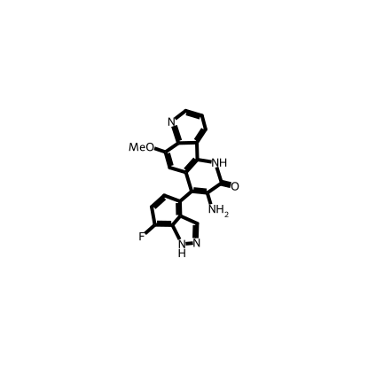 COc1cc2c(-c3ccc(F)c4[nH]ncc34)c(N)c(=O)[nH]c2c2cccnc12